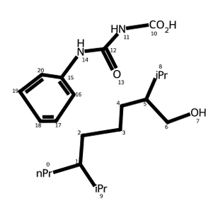 CCCC(CCCC(CO)C(C)C)C(C)C.O=C(O)NC(=O)Nc1ccccc1